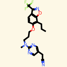 CCCc1c(OCCCN(C)c2ncc(CC#N)cn2)ccc2c(C(F)(F)F)noc12